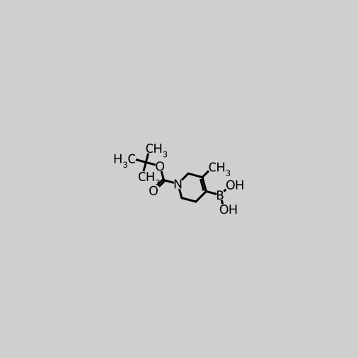 CC1=C(B(O)O)CCN(C(=O)OC(C)(C)C)C1